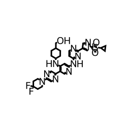 O=S(=O)(C1CC1)n1cc(-c2nccc(Nc3cc(NC4CCC(CO)CC4)c(-c4cnc(N5CCC(F)(F)CC5)cn4)cn3)n2)cn1